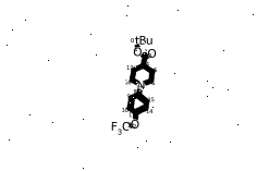 CC(C)(C)OC(=O)C1CCN(c2ccc(OC(F)(F)F)cc2)CC1